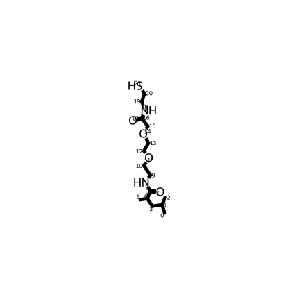 CC(C)CC(C)C(=O)NCCOCCOCC(=O)NCCS